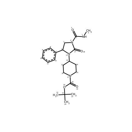 CNC(=O)N1CC(c2ccccc2)N(C2CCN(C(=O)OC(C)(C)C)CC2)C1=O